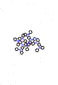 c1ccc(-c2cc(-c3ccc(-n4c5ccccc5c5cc6c7ccccc7n(-c7ccccc7)c6cc54)c(-c4cnccc4-n4c5ccccc5c5cc6c7ccccc7n(-c7ccccc7)c6cc54)c3)nc(-c3ccc(-n4c5ccccc5c5cc6c7ccccc7n(-c7ccccc7)c6cc54)c(-c4cnccc4-n4c5ccccc5c5cc6c7ccccc7n(-c7ccccc7)c6cc54)c3)n2)cc1